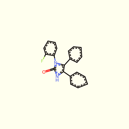 O=c1[nH]c(-c2ccccc2)c(-c2ccccc2)n1-c1ccccc1F